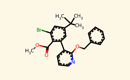 COC(=O)c1c(Br)cc(C(C)(C)C)cc1-c1cccnc1OCc1ccccc1